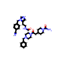 N#Cc1ccc(Cn2cncc2CCNC(=O)[C@H]2CN(Cc3ccccc3)CCN2C(=O)CC2CCN(C(N)=O)CC2)cc1